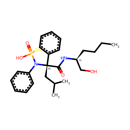 CCCC[C@@H](CO)NC(=O)[C@@](CC(C)C)(c1ccccc1)N(c1ccccc1)P(=O)(O)S